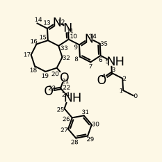 CCCC(=O)Nc1ccc(C2=NN=C(C)C3CCCCC(OC(=O)NCc4ccccc4)CC23)nc1